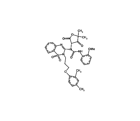 COc1ccccc1NC(=O)N(C1=Nc2ccccc2S(=O)(=O)N1CCCOc1ccc(C)cc1C)C1C(=O)OC(C)(C)C1=O